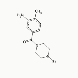 CCN1CCN(C(=O)c2ccc(C)c(N)c2)CC1